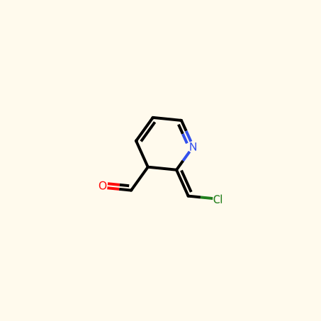 O=CC1C=CC=NC1=CCl